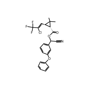 CC1(C)[C@H](C=C(Cl)C(F)(F)F)[C@H]1C(=O)OC(C#N)c1cccc(Oc2ccccc2)c1